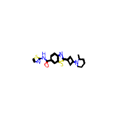 CC1CCCCN1C1CC(c2nc3ccc(C(=O)Nc4nccs4)cc3s2)C1